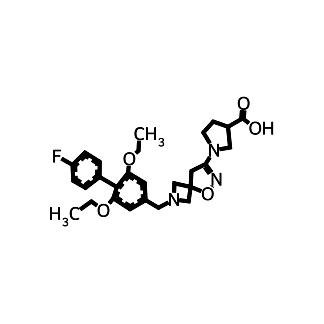 CCOc1cc(CN2CC3(CC(N4CCC(C(=O)O)C4)=NO3)C2)cc(OCC)c1-c1ccc(F)cc1